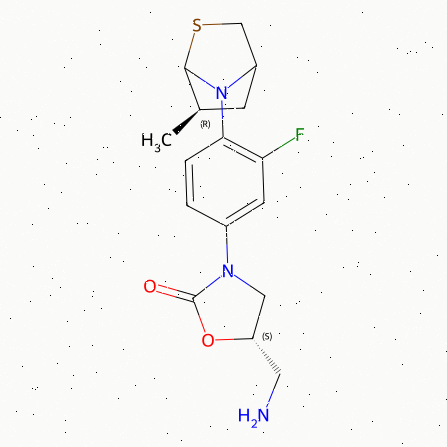 C[C@@H]1CC2CSC1N2c1ccc(N2C[C@H](CN)OC2=O)cc1F